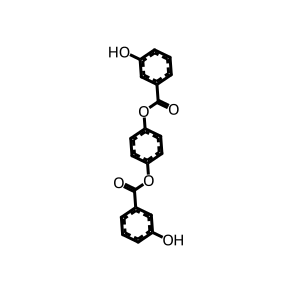 O=C(Oc1ccc(OC(=O)c2cccc(O)c2)cc1)c1cccc(O)c1